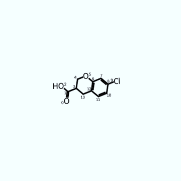 O=C(O)C1COc2cc(Cl)ccc2C1